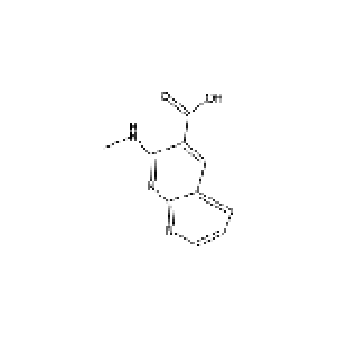 CNc1nc2ncccc2cc1C(=O)O